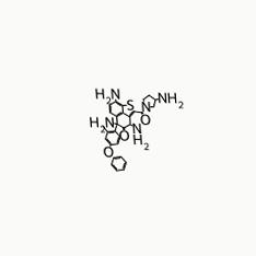 Cc1cc(Oc2ccccc2)ccc1C1(N)C(=O)C(N)c2c(C(=O)N3CCC(N)C3)sc3c(N)ccc1c23